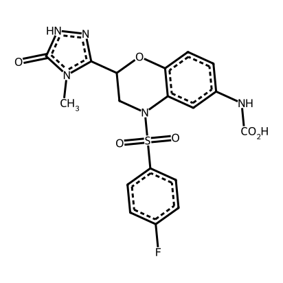 Cn1c(C2CN(S(=O)(=O)c3ccc(F)cc3)c3cc(NC(=O)O)ccc3O2)n[nH]c1=O